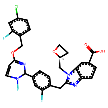 O=C(O)c1ccc2nc(Cc3ccc(C4N=C(OCc5ccc(Cl)cc5F)C=CN4F)cc3F)n(C[C@@H]3CCO3)c2c1